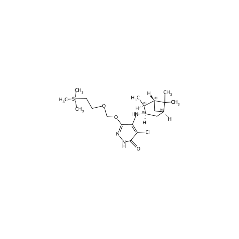 C[C@H]1[C@H]2C[C@H](C[C@H]1Nc1c(OCOCC[Si](C)(C)C)n[nH]c(=O)c1Cl)C2(C)C